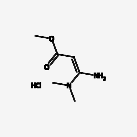 COC(=O)C=C(N)N(C)C.Cl